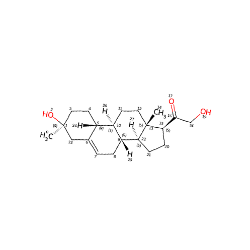 C[C@]1(O)CC[C@H]2C(=CC[C@@H]3[C@@H]2CC[C@]2(C)[C@@H](C(=O)CO)CC[C@@H]32)C1